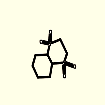 O=S1(=O)CCS(=O)(=O)C2CCCCC21